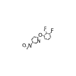 O=[N+]([O-])c1ccc(Oc2cccc(F)c2F)nc1